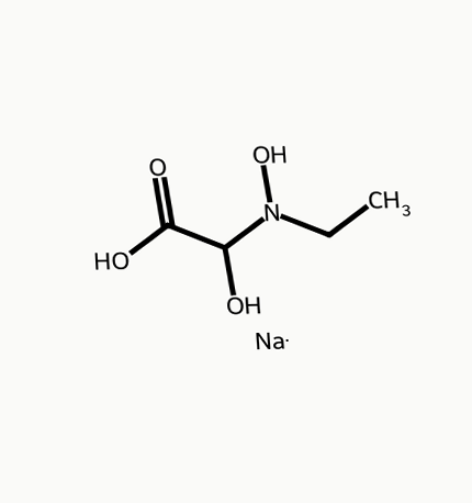 CCN(O)C(O)C(=O)O.[Na]